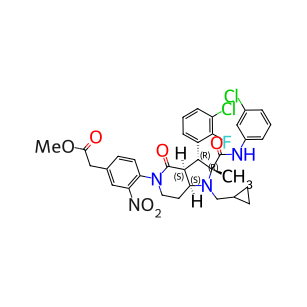 COC(=O)Cc1ccc(N2CC[C@H]3[C@@H](C2=O)[C@H](c2cccc(Cl)c2F)[C@](C)(C(=O)Nc2cccc(Cl)c2)N3CC2CC2)c([N+](=O)[O-])c1